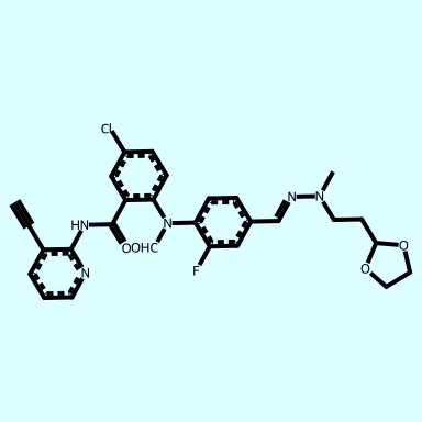 C#Cc1cccnc1NC(=O)c1cc(Cl)ccc1N(C=O)c1ccc(C=NN(C)CCC2OCCO2)cc1F